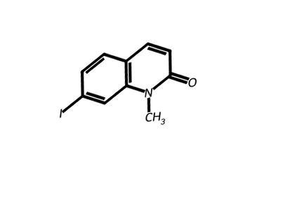 Cn1c(=O)ccc2ccc(I)cc21